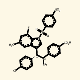 CCC[C@H](c1ccc(C(=O)O)cc1)[C@H](c1ccc(Cl)cc1)c1cn(S(=O)(=O)c2ccc([N+](=O)[O-])cc2)c2c(F)cc(C)cc12